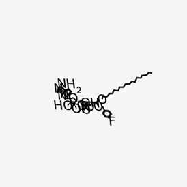 CCCCCCCCCCCCCCCCCCOC[C@H](COP(=O)(O)OC[C@H]1O[C@@](C)(c2ccc3c(N)ncnn23)[C@H](O)[C@@H]1O)OCc1ccc(F)cc1